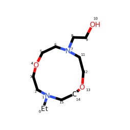 CCN1CCOCCN(CCO)CCOCC1